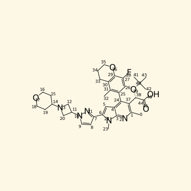 Cc1nc2c(cc(-c3ccn(C4CN(C5CCOCC5)C4)n3)n2C)c(-c2cc(F)c3c(c2C)CCCO3)c1[C@H](OC(C)(C)C)C(=O)O